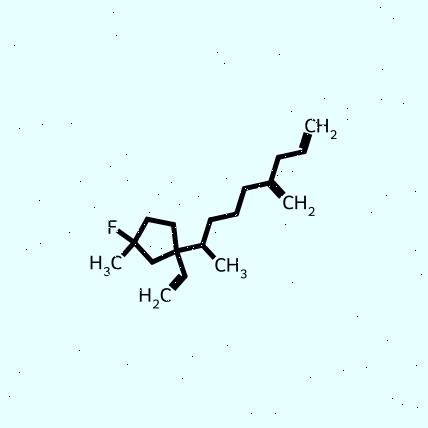 C=CCC(=C)CCCC(C)C1(C=C)CCC(C)(F)C1